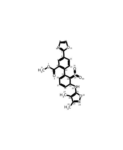 COC(=O)c1cc(-c2ncco2)ccc1C1=CC=CC(Nc2onc(C)c2C)C1=S(=O)=O